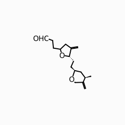 C=C1CO[C@@H](CC[C@@H]2OC(CCC=O)CC2=C)C[C@H]1C